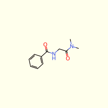 CN(C)C(=O)CNC(=O)c1ccccc1